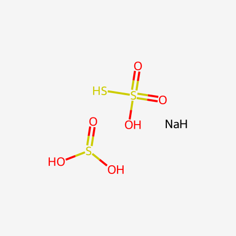 O=S(=O)(O)S.O=S(O)O.[NaH]